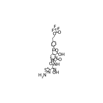 Nc1nc(C(=NO)C(=O)NC2C(=O)N3C(C(=O)O)=C(COc4ccc(CCOC(=O)C(F)(F)F)cc4)CS[C@@H]23)cs1